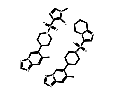 Cc1cc2ncnn2cc1C1CCN(S(=O)(=O)c2cnc3n2CCCC3)CC1.Cc1cc2ncnn2cc1C1CCN(S(=O)(=O)c2ncn(C)c2Cl)CC1